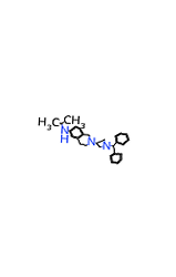 CC(C)Nc1ccc2c(c1)CCN(C1CN(C(c3ccccc3)c3ccccc3)C1)C2